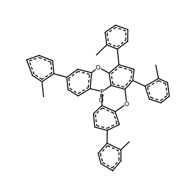 Cc1ccccc1-c1ccc2c(c1)Oc1c(-c3ccccc3C)cc(-c3ccccc3C)c3c1P2(=O)c1ccc(-c2ccccc2C)cc1O3